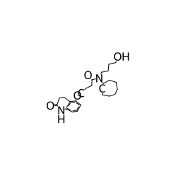 O=C1CCc2c(cccc2OCCCC(=O)N(CCCCO)C2CCCCCCC2)N1